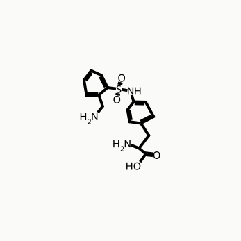 NCc1ccccc1S(=O)(=O)Nc1ccc(CC(N)C(=O)O)cc1